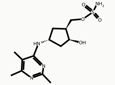 Cc1nc(C)c(C)c(N[C@@H]2C[C@@H](COS(N)(=O)=O)[C@@H](O)C2)n1